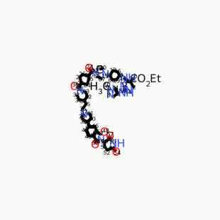 CCOC(=O)c1cnc(Nc2cnn(C)c2)nc1NC1CCC(N2CCN(C(=O)C3CCC(C(=O)N4CCC(CCN5CCC(c6ccc7c(c6)C(=O)N(C6CCC(=O)NC6=O)C7=O)CC5)CC4)CC3)CC2)CC1